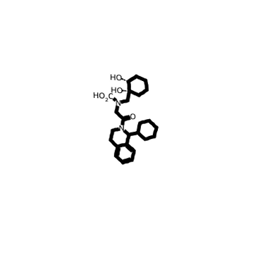 O=C(O)N(CC(=O)N1CCc2ccccc2C1C1CCCCC1)C[C@]1(O)CCCC[C@H]1O